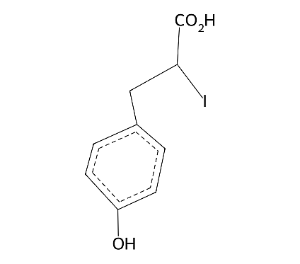 O=C(O)C(I)Cc1ccc(O)cc1